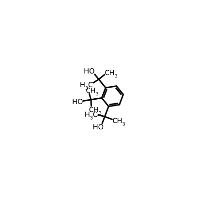 CC(C)(O)c1cccc(C(C)(C)O)c1C(C)(C)O